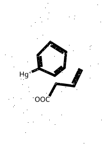 C=CCC(=O)[O-].[Hg+][c]1ccccc1